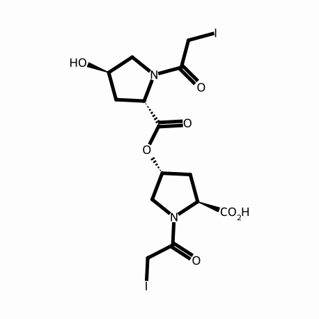 O=C(O)[C@@H]1C[C@@H](OC(=O)[C@@H]2C[C@@H](O)CN2C(=O)CI)CN1C(=O)CI